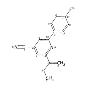 C=C(CC)c1cc(C#N)cc(-c2ccc(F)cc2)n1